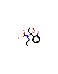 CCCN(C(=O)O)[C@](CC)(OC)c1ccccc1I